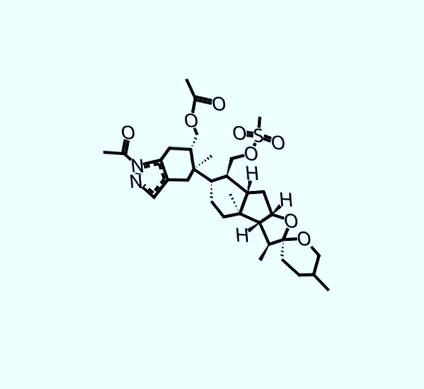 CC(=O)OC[C@H]1Cc2c(cnn2C(C)=O)C[C@]1(C)[C@H]1CC[C@]2(C)[C@@H]3[C@H](C[C@H]2[C@@H]1COS(C)(=O)=O)O[C@]1(CCC(C)CO1)[C@H]3C